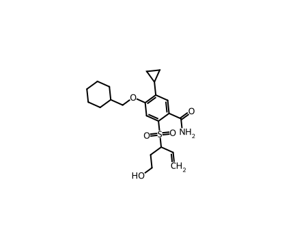 C=CC(CCO)S(=O)(=O)c1cc(OCC2CCCCC2)c(C2CC2)cc1C(N)=O